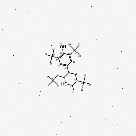 CC(O)C(CC(CCC(C)(C)C)c1cc(C(C)(C)C)c(O)c(C(C)(C)C)c1)C(C)(C)C